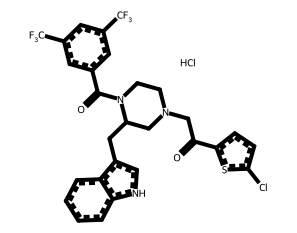 Cl.O=C(CN1CCN(C(=O)c2cc(C(F)(F)F)cc(C(F)(F)F)c2)C(Cc2c[nH]c3ccccc23)C1)c1ccc(Cl)s1